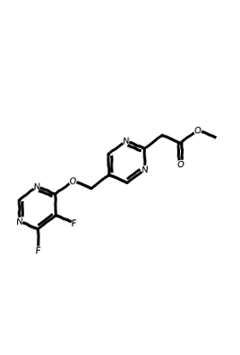 COC(=O)Cc1ncc(COc2ncnc(F)c2F)cn1